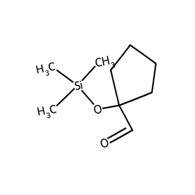 C[Si](C)(C)OC1(C=O)CCCC1